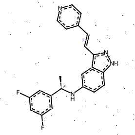 C[C@@H](Nc1ccc2[nH]nc(/C=C/c3ccncc3)c2c1)c1cc(F)cc(F)c1